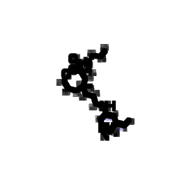 C/C=C(C#N)\C=C(/CN)NCCCC1(C)CCCOOC2(CN(CCC)C2=O)C1